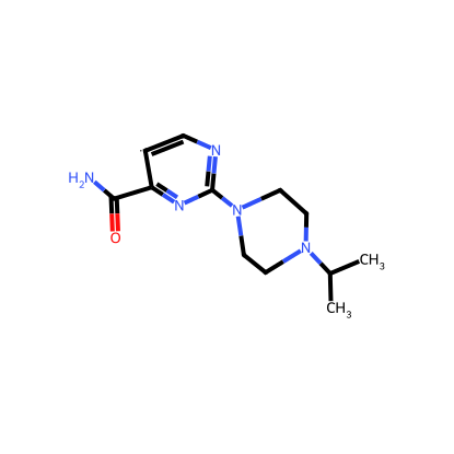 CC(C)N1CCN(c2nc[c]c(C(N)=O)n2)CC1